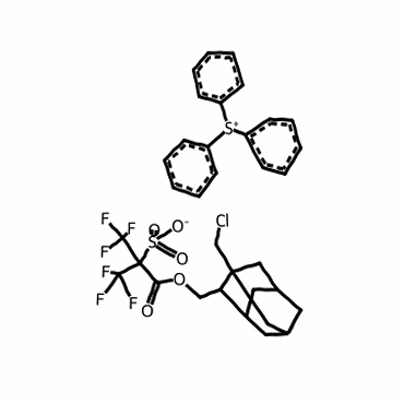 O=C(OCC1C2CC3CC(C2)CC1(CCl)C3)C(C(F)(F)F)(C(F)(F)F)S(=O)(=O)[O-].c1ccc([S+](c2ccccc2)c2ccccc2)cc1